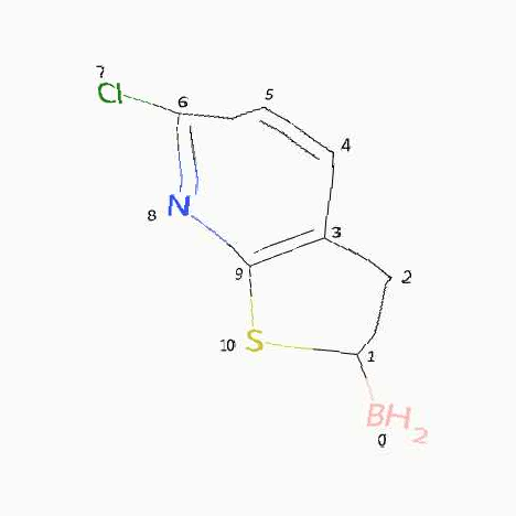 BC1Cc2ccc(Cl)nc2S1